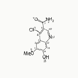 COc1cc2c(Cl)c(C(N)=O)cnc2cc1O